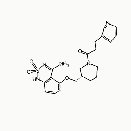 NC1=NS(=O)(=O)Nc2cccc(OC[C@H]3CCCN(C(=O)CCc4cccnc4)C3)c21